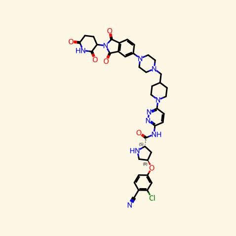 N#Cc1ccc(O[C@H]2CN[C@H](C(=O)Nc3ccc(N4CCC(CN5CCN(c6ccc7c(c6)C(=O)N(C6CCC(=O)NC6=O)C7=O)CC5)CC4)nn3)C2)cc1Cl